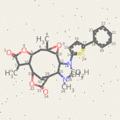 CC1C(=O)OC2CC3(C)OC3C(N(C(=O)O)c3ccc(-c4ccccc4)s3)C(N(C)C)C3=CC(OC3=O)C21